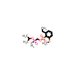 CCc1cccc(SC)c1S(=O)(=O)OCP(C)(=O)OC(C)C